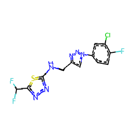 Fc1ccc(-n2cc(CNc3nnc(C(F)F)s3)nn2)cc1Cl